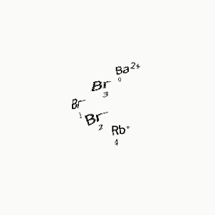 [Ba+2].[Br-].[Br-].[Br-].[Rb+]